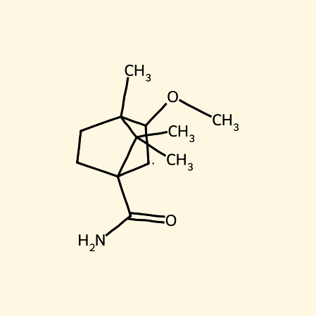 COC1[CH]C2(C(N)=O)CCC1(C)C2(C)C